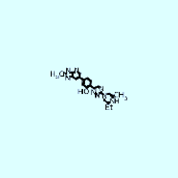 CC[C@H]1CN(c2ncc(-c3ccc(-c4cnc5nn(C)nc5c4)cc3O)nn2)C[C@@H](C)N1